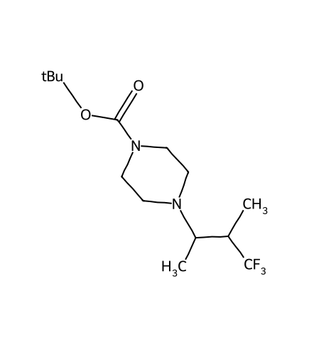 CC(C(C)C(F)(F)F)N1CCN(C(=O)OC(C)(C)C)CC1